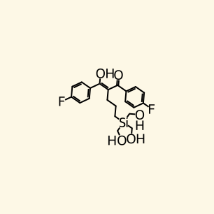 O=C(/C(CCC[Si](CO)(CO)CO)=C(\O)c1ccc(F)cc1)c1ccc(F)cc1